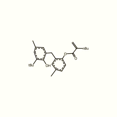 C=C(CCCC)C(=O)Oc1ccc(C)cc1Cc1cc(C)cc(C(C)(C)C)c1O